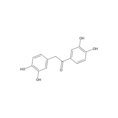 O=C(Cc1ccc(O)c(O)c1)c1ccc(O)c(O)c1